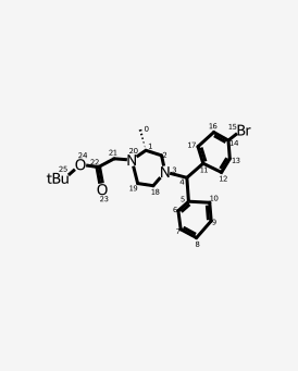 C[C@@H]1CN(C(c2ccccc2)c2ccc(Br)cc2)CCN1CC(=O)OC(C)(C)C